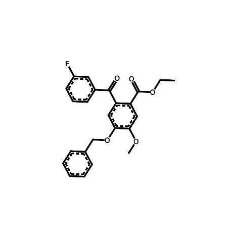 CCOC(=O)c1cc(OC)c(OCc2ccccc2)cc1C(=O)c1cccc(F)c1